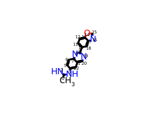 CC(=N)Nc1ccc2nc(-c3ccc4ocnc4c3)ncc2c1